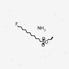 C=CCOS(=O)(=O)CCCCCCCCCCCF.N